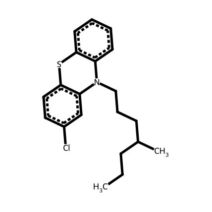 CCCC(C)CCCN1c2ccccc2Sc2ccc(Cl)cc21